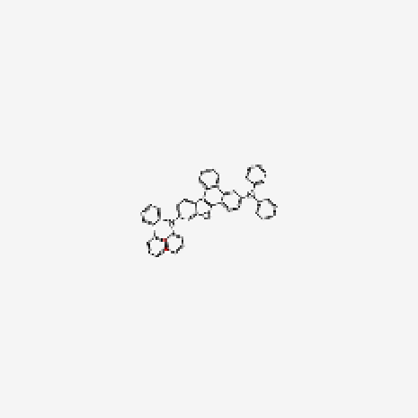 c1ccc(-c2ccccc2N(c2ccccc2)c2ccc3c(c2)oc2c4ccc(N(c5ccccc5)c5ccccc5)cc4c4ccccc4c32)cc1